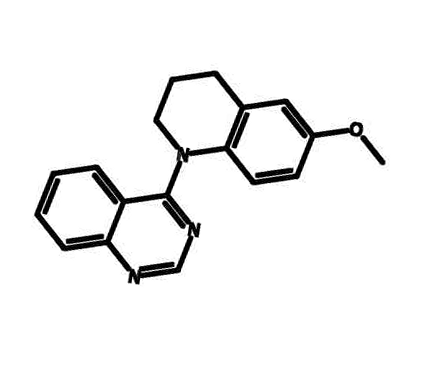 COc1ccc2c(c1)CCCN2c1ncnc2ccccc12